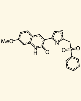 COc1ccc2cc(-c3csc(CS(=O)(=O)c4ccccc4)n3)c(=O)[nH]c2c1